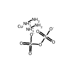 N[NH3+].N[NH3+].O=S(=O)([O-])OS(=O)(=O)[O-].[Cu]